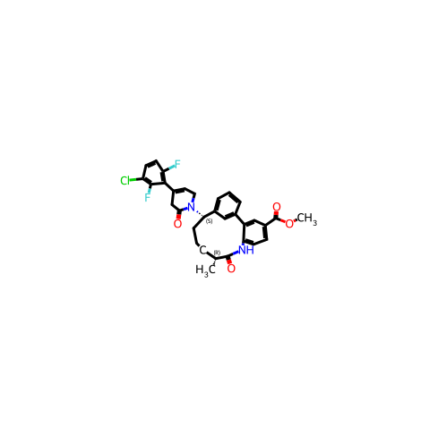 COC(=O)c1ccc2c(c1)-c1cccc(c1)[C@@H](N1CC=C(c3c(F)ccc(Cl)c3F)CC1=O)CCC[C@@H](C)C(=O)N2